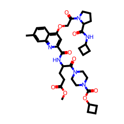 COC(=O)CCC(NC(=O)c1cc(OCC(=O)N2CCCC2C(=O)NC2CCC2)c2ccc(C)cc2n1)C(=O)N1CCN(C(=O)OC2CCC2)CC1